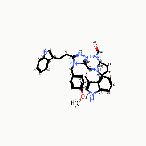 COc1ccc(Cn2c(CCc3c[nH]c4ccccc34)nnc2[C@@H](Cc2c[nH]c3ccccc23)N2CCC[C@@H]2N[C]=O)cc1